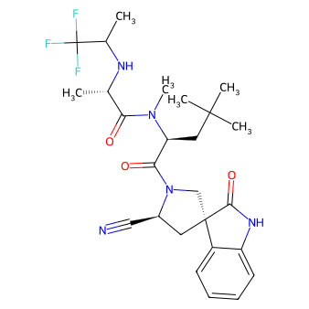 CC(N[C@@H](C)C(=O)N(C)[C@@H](CC(C)(C)C)C(=O)N1C[C@]2(C[C@H]1C#N)C(=O)Nc1ccccc12)C(F)(F)F